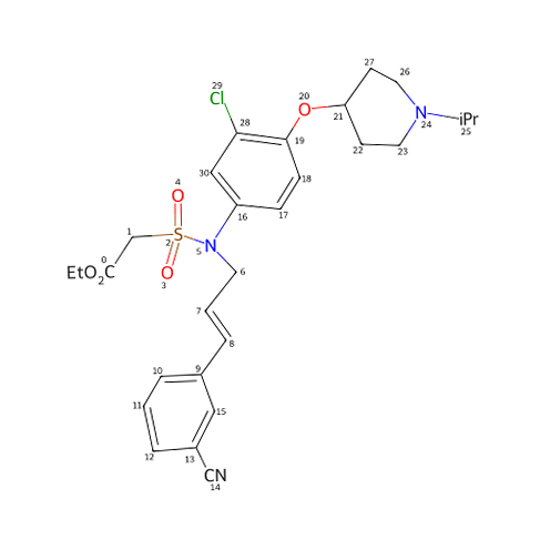 CCOC(=O)CS(=O)(=O)N(C/C=C/c1cccc(C#N)c1)c1ccc(OC2CCN(C(C)C)CC2)c(Cl)c1